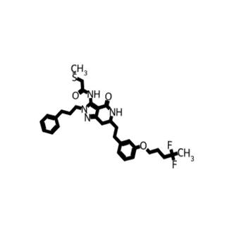 CSCC(=O)Nc1c2c(nn1CCCc1ccccc1)CC(CCc1cccc(OCCCC(C)(F)F)c1)NC2=O